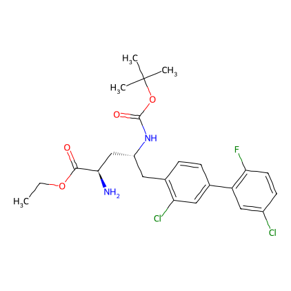 CCOC(=O)[C@H](N)C[C@@H](Cc1ccc(-c2cc(Cl)ccc2F)cc1Cl)NC(=O)OC(C)(C)C